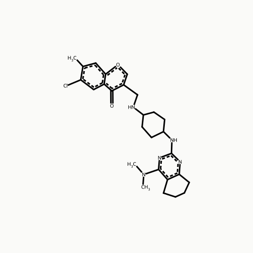 Cc1cc2occ(CNC3CCC(Nc4nc5c(c(N(C)C)n4)CCCC5)CC3)c(=O)c2cc1Cl